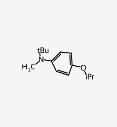 CC(C)Oc1ccc(N(C)C(C)(C)C)cc1